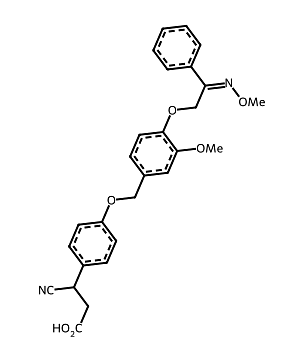 CO/N=C(\COc1ccc(COc2ccc(C(C#N)CC(=O)O)cc2)cc1OC)c1ccccc1